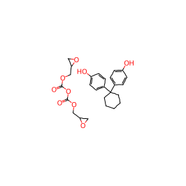 O=C(OCC1CO1)OC(=O)OCC1CO1.Oc1ccc(C2(c3ccc(O)cc3)CCCCC2)cc1